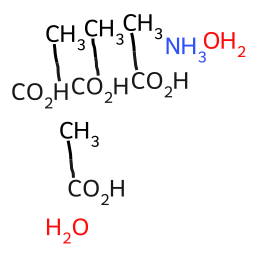 CC(=O)O.CC(=O)O.CC(=O)O.CC(=O)O.N.O.O